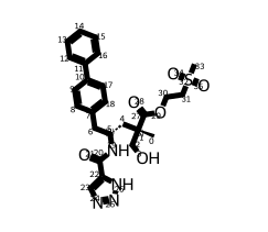 C[C@@](CO)(C[C@@H](Cc1ccc(-c2ccccc2)cc1)NC(=O)c1cnn[nH]1)C(=O)OCCS(C)(=O)=O